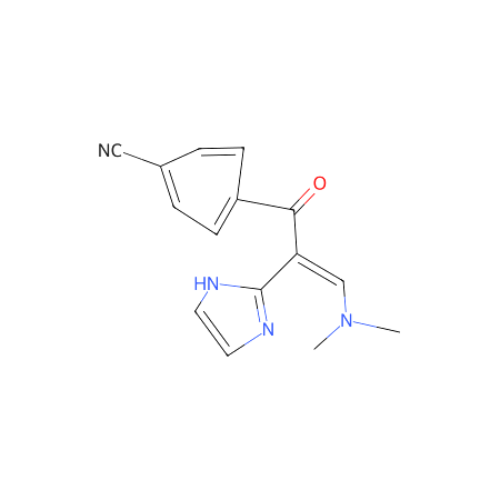 CN(C)C=C(C(=O)c1ccc(C#N)cc1)c1ncc[nH]1